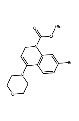 CC(C)(C)OC(=O)N1CC=C(N2CCOCC2)c2ccc(Br)cc21